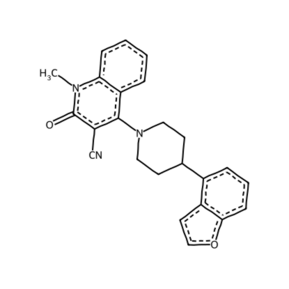 Cn1c(=O)c(C#N)c(N2CCC(c3cccc4occc34)CC2)c2ccccc21